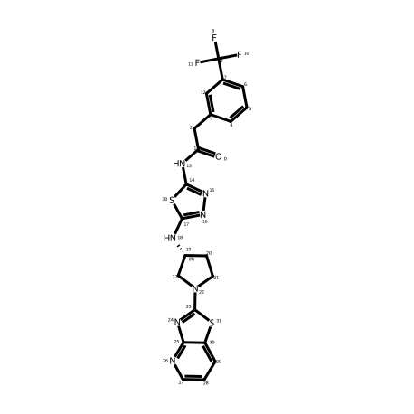 O=C(Cc1cccc(C(F)(F)F)c1)Nc1nnc(N[C@@H]2CCN(c3nc4ncccc4s3)C2)s1